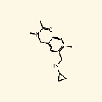 CC(=O)N(C)Cc1ccc(C)c(CNC2CC2)c1